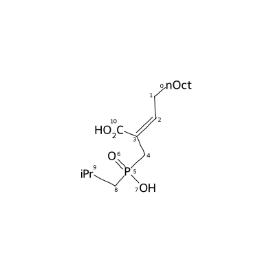 CCCCCCCCC/C=C(/CP(=O)(O)CC(C)C)C(=O)O